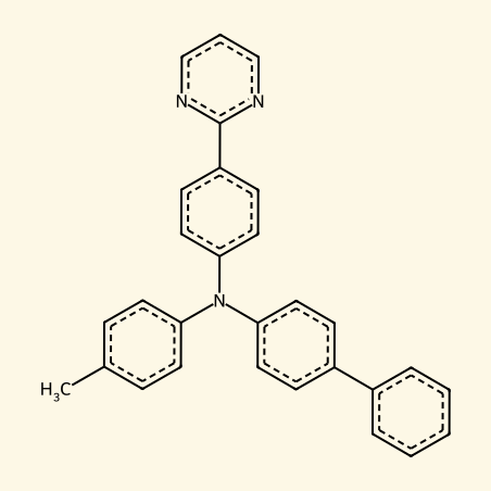 Cc1ccc(N(c2ccc(-c3ccccc3)cc2)c2ccc(-c3ncccn3)cc2)cc1